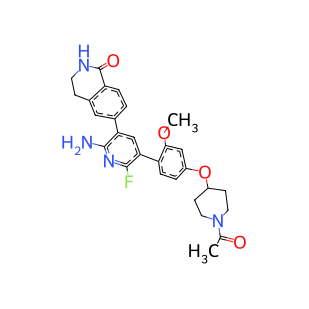 COc1cc(OC2CCN(C(C)=O)CC2)ccc1-c1cc(-c2ccc3c(c2)CCNC3=O)c(N)nc1F